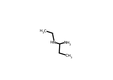 C[CH]NC(N)CC